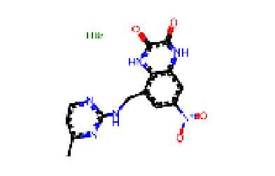 Br.Cc1ccnc(NCc2cc([N+](=O)[O-])cc3[nH]c(=O)c(=O)[nH]c23)n1